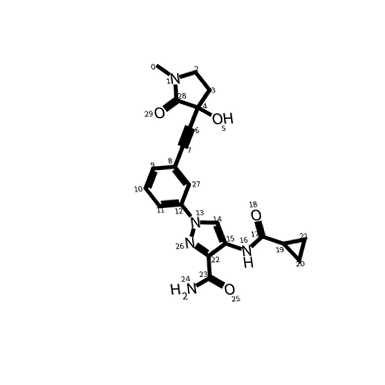 CN1CCC(O)(C#Cc2cccc(-n3cc(NC(=O)C4CC4)c(C(N)=O)n3)c2)C1=O